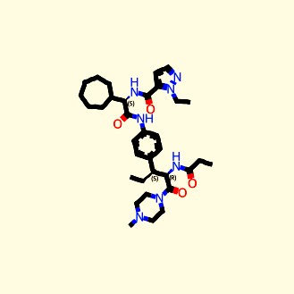 CCC(=O)N[C@@H](C(=O)N1CCN(C)CC1)[C@@H](CC)c1ccc(NC(=O)[C@@H](NC(=O)c2ccnn2CC)C2CCCCCC2)cc1